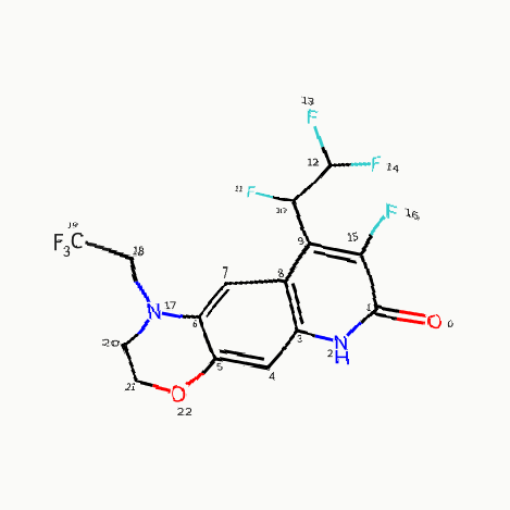 O=c1[nH]c2cc3c(cc2c(C(F)C(F)F)c1F)N(CC(F)(F)F)CCO3